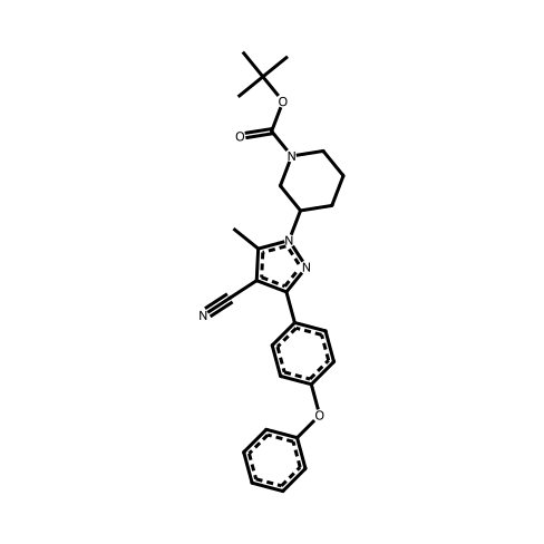 Cc1c(C#N)c(-c2ccc(Oc3ccccc3)cc2)nn1C1CCCN(C(=O)OC(C)(C)C)C1